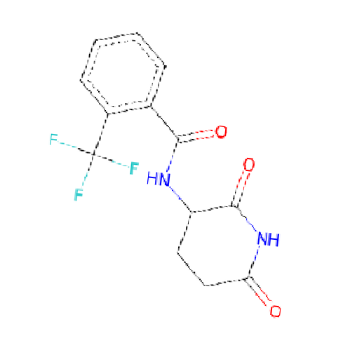 O=C1CCC(NC(=O)c2ccccc2C(F)(F)F)C(=O)N1